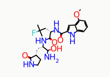 COc1cccc2[nH]c(C(=O)N[C@@H](CC(C)(C)F)C(=O)N[C@@H](C[C@@H]3CCNC3=O)C(N)O)cc12